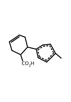 Cc1ccc(C2CC=CCC2C(=O)O)cc1